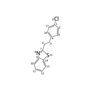 Clc1ccc(CCc2nc3ccccc3s2)cc1